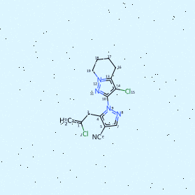 C=C(Cl)Cc1c(C#N)cnn1-c1nn2c(c1Cl)CCCC2